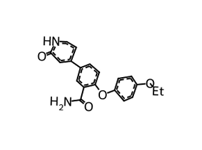 CCOc1ccc(Oc2ccc(-c3cc[nH]c(=O)c3)cc2C(N)=O)cc1